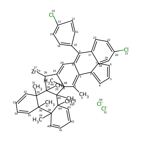 CC1=C(C2=CC=CC2)C(=C(c2ccc(Cl)cc2)c2ccc(Cl)cc2)C=C2[CH]([Zr+2])C3(C)C4(C)C=CC=CC4(C)C4(C)C=CC=CC4(C)C3(C)C21C.[Cl-].[Cl-]